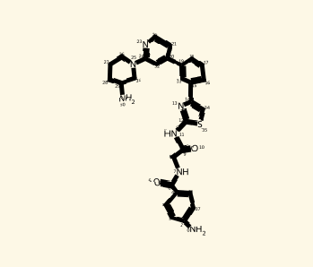 Nc1ccc(C(=O)NCC(=O)Nc2nc(-c3cccc(-c4ccnc(N5CCCC(N)C5)c4)c3)cs2)cc1